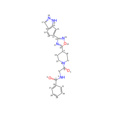 O=C(NCC(=O)N1CCC(c2nc(-c3ccc4cn[nH]c4c3)no2)CC1)c1ccccc1